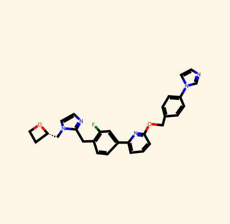 Fc1cc(-c2cccc(OCc3ccc(-n4ccnc4)cc3)n2)ccc1Cc1nccn1C[C@@H]1CCO1